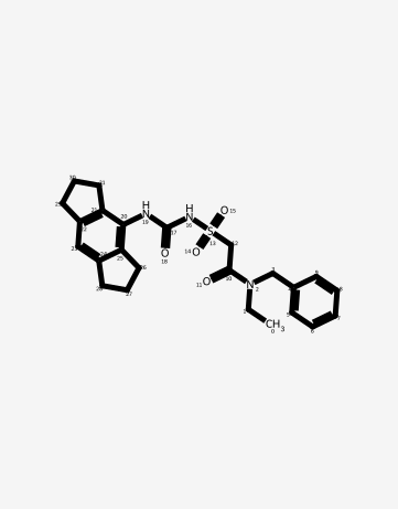 CCN(Cc1ccccc1)C(=O)CS(=O)(=O)NC(=O)Nc1c2c(cc3c1CCC3)CCC2